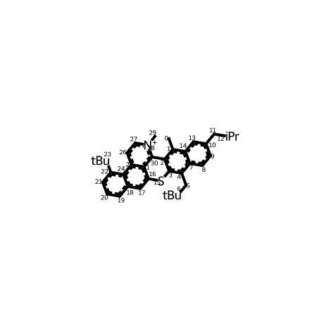 Cc1c2c(c(CC(C)(C)C)c3ccc(CC(C)C)cc13)Sc1cc3cccc(C(C)(C)C)c3c3cc[n+](C)c-2c13